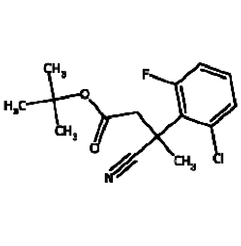 CC(C)(C)OC(=O)CC(C)(C#N)c1c(F)cccc1Cl